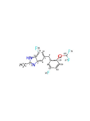 Cc1nc2cc(Cc3cc(F)ccc3OC(F)F)cc(F)c2[nH]1